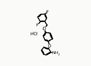 Cl.Nc1ccccc1Oc1ccc(OCc2cc(F)ccc2F)cc1